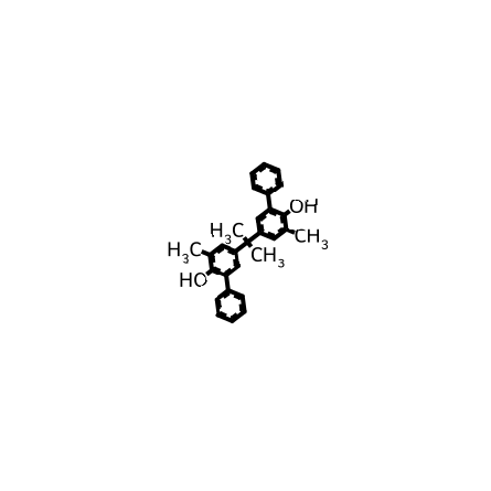 Cc1cc(C(C)(C)c2cc(C)c(O)c(-c3ccccc3)c2)cc(-c2ccccc2)c1O